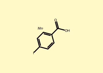 O=C(O)c1ccc(I)cc1.[Mn]